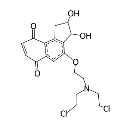 O=C1C=CC(=O)c2c1cc(OCCN(CCCl)CCCl)c1c2CC(O)C1O